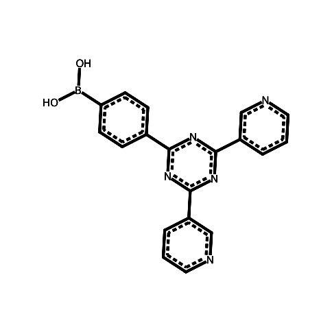 OB(O)c1ccc(-c2nc(-c3cccnc3)nc(-c3cccnc3)n2)cc1